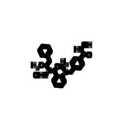 CC(Cc1ccccc1)N(C=O)C(=O)c1ccccc1N(C)Cc1ccc(C(=O)NO)cc1